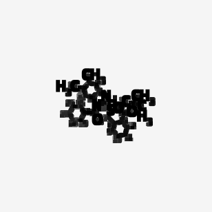 Cc1cc2nc(SCc3ccccc3C(=O)OC(C)(C)C)n(C(=O)c3ccccc3)c2cc1C